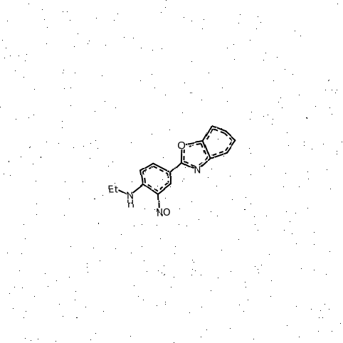 CCNc1ccc(-c2nc3ccccc3o2)cc1N=O